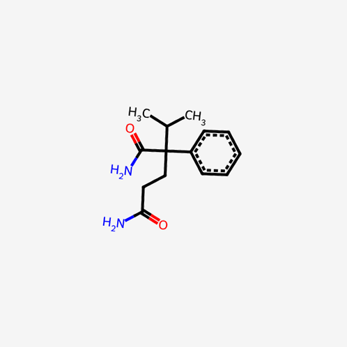 CC(C)C(CCC(N)=O)(C(N)=O)c1ccccc1